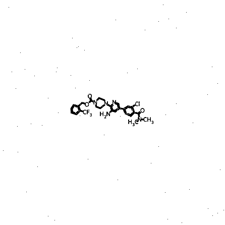 CN(C)C(=O)c1ccc(-c2cnc(N3CCN(C(=O)OCc4ccccc4C(F)(F)F)CC3)c(N)c2)cc1Cl